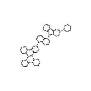 c1ccc(-c2ccc3c(c2)c2ccccc2n3-c2cccc3c(-c4ccc5c(c4)c4ccccc4c4c6ccccc6c6ccccc6c54)cccc23)cc1